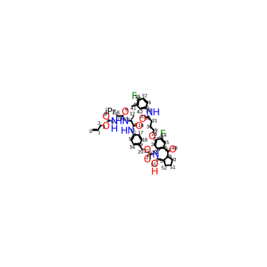 C=CCOC(=O)N[C@H](C(=O)N[C@@H](C)C(=O)Nc1ccc(COC(=O)N2c3cc(OCCCC(=O)Nc4ccc(F)c(C)c4)c(F)cc3C(=O)C3CCCC3C2O)cc1)C(C)C